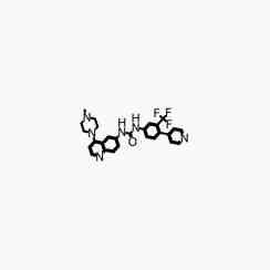 CN1CCN(c2ccnc3ccc(NC(=O)Nc4ccc(-c5ccncc5)c(C(F)(F)F)c4)cc23)CC1